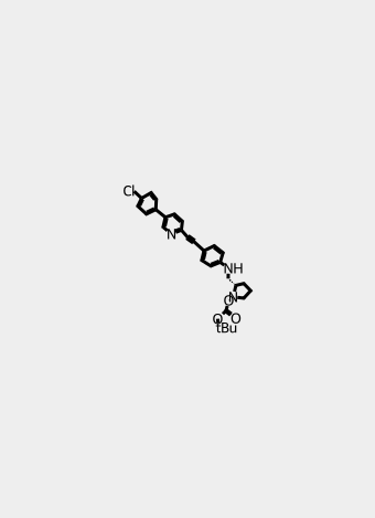 CC(C)(C)OC(=O)ON1CCC[C@H]1CNc1ccc(C#Cc2ccc(-c3ccc(Cl)cc3)cn2)cc1